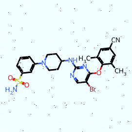 Cc1cc(C#N)cc(C)c1Oc1nc(NC2CCN(c3cccc(S(N)(=O)=O)c3)CC2)ncc1Br